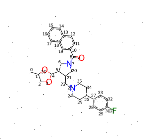 CC1COC(C2CN(C(=O)c3ccc4ccccc4c3)CC2CN2CCC(c3ccc(F)cc3)CC2)O1